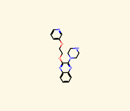 c1cncc(OCCOc2nc3ccccc3nc2N2CCNCC2)c1